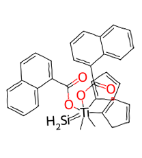 [CH3][Ti]([CH3])(=[SiH2])([O]C(=O)c1cccc2ccccc12)([O]C(=O)c1cccc2ccccc12)([C]1=CC=CC1)[C]1=CC=CC1